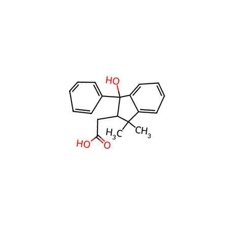 CC1(C)c2ccccc2C(O)(c2ccccc2)C1CC(=O)O